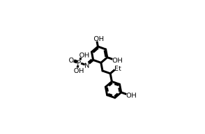 CCC(CC1C(O)=CC(O)=C/C1=N\P(=O)(O)O)c1cccc(O)c1